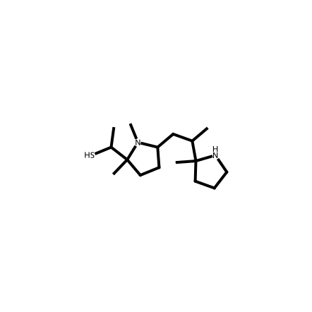 CC(CC1CCC(C)(C(C)S)N1C)C1(C)CCCN1